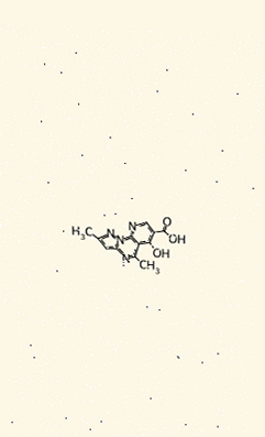 Cc1cc2nc(C)c3c(O)c(C(=O)O)cnc3n2n1